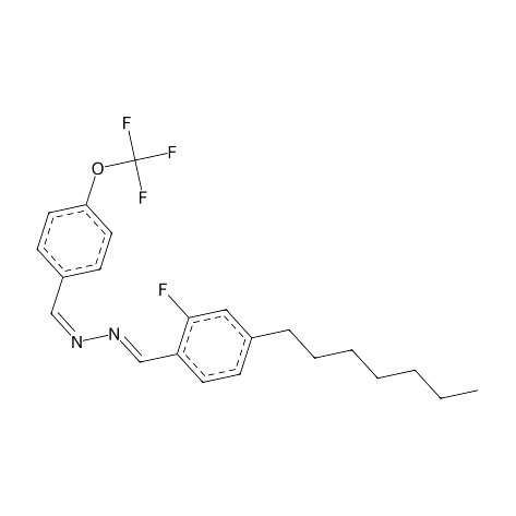 CCCCCCCc1ccc(/C=N/N=C\c2ccc(OC(F)(F)F)cc2)c(F)c1